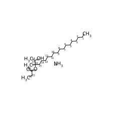 CCCCCCCCCCCCCCCCC(C)(OC(=O)CC)C(C)O.N